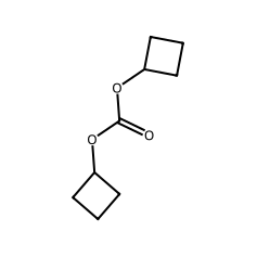 O=C(OC1CCC1)OC1CCC1